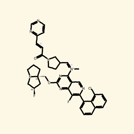 C/[N+](=C/C1CCN(C(=O)/C=C/c2ccncn2)C1)c1nc(OC[C@@]23CCCN2C[C@H](F)C3)nc2c(F)c(-c3cccc4cccc(Cl)c34)ncc12